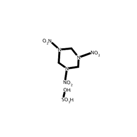 O=S(=O)(O)O.O=[N+]([O-])N1CN([N+](=O)[O-])CN([N+](=O)[O-])C1